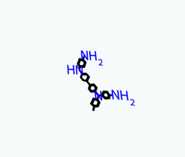 Cc1ccc(N(c2ccc(N)cc2)c2ccc(C3=CC=C(Nc4ccc(N)cc4)CC3)cc2)cc1